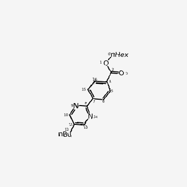 CCCCCCOC(=O)c1ccc(-c2ncc(CCCC)cn2)cc1